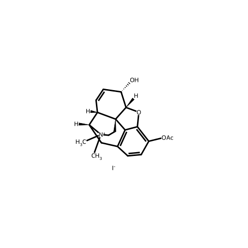 CC(=O)Oc1ccc2c3c1O[C@H]1[C@@H](O)C=C[C@H]4[C@@H](C2)[N+](C)(C)CC[C@@]341.[I-]